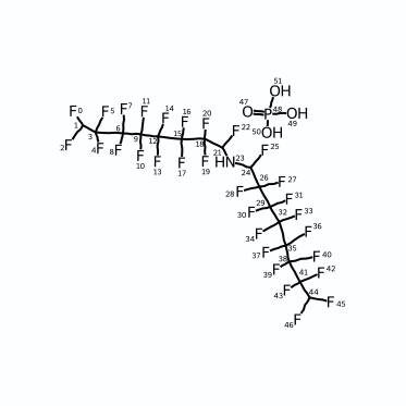 FC(F)C(F)(F)C(F)(F)C(F)(F)C(F)(F)C(F)(F)C(F)(F)C(F)NC(F)C(F)(F)C(F)(F)C(F)(F)C(F)(F)C(F)(F)C(F)(F)C(F)F.O=P(O)(O)O